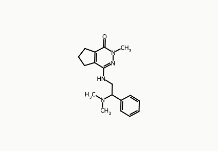 CN(C)C(CNc1nn(C)c(=O)c2c1CCC2)c1ccccc1